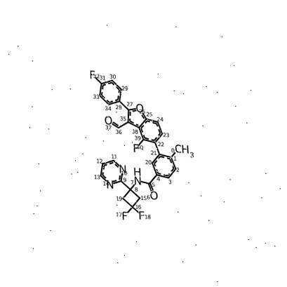 Cc1ccc(C(=O)NC2(c3ncccn3)CC(F)(F)C2)cc1-c1ccc2oc(-c3ccc(F)cc3)c(C=O)c2c1F